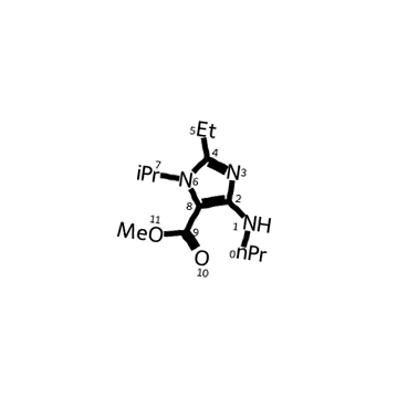 CCCNc1nc(CC)n(C(C)C)c1C(=O)OC